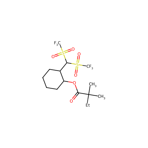 CCC(C)(C)C(=O)OC1CCCCC1C(S(=O)(=O)C(F)(F)F)S(=O)(=O)C(F)(F)F